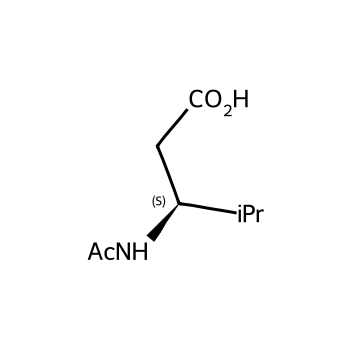 CC(=O)N[C@@H](CC(=O)O)C(C)C